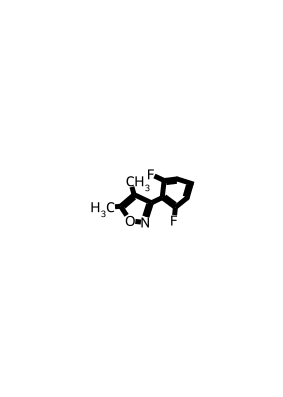 Cc1onc(-c2c(F)cccc2F)c1C